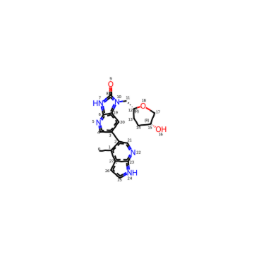 Cc1c(-c2cnc3[nH]c(=O)n(C[C@H]4CC[C@@H](O)CO4)c3c2)cnc2[nH]ccc12